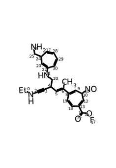 CCNC#CC(/C=C(\C)C1=CC(N=O)C=C(C(=O)OF)C=C1)CNC1=CC(CN)C=CC=C1